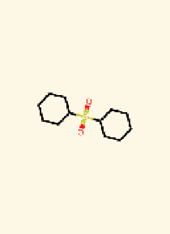 O=S(=O)(C1CCCCC1)C1CCCCC1